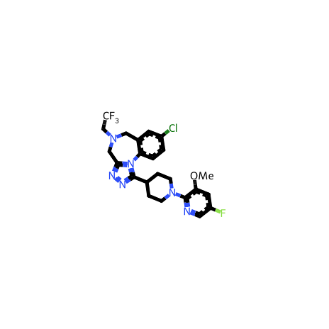 COc1cc(F)cnc1N1CCC(c2nnc3n2-c2ccc(Cl)cc2CN(CC(F)(F)F)C3)CC1